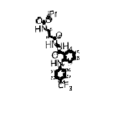 CC(C)OC(=O)NCCC(=O)NNC(=O)c1ccccc1Nc1ccc(C(F)(F)F)cc1